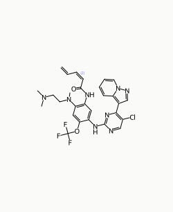 C=C/C=C\C(=O)Nc1cc(Nc2ncc(Cl)c(-c3cnn4ccccc34)n2)c(OC(F)(F)F)cc1N(C)CCN(C)C